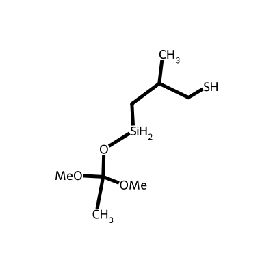 COC(C)(OC)O[SiH2]CC(C)CS